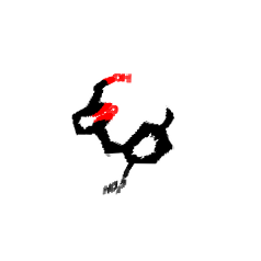 Cc1ccc(S(=O)(=O)O)c(Cc2ccc(CO)o2)c1